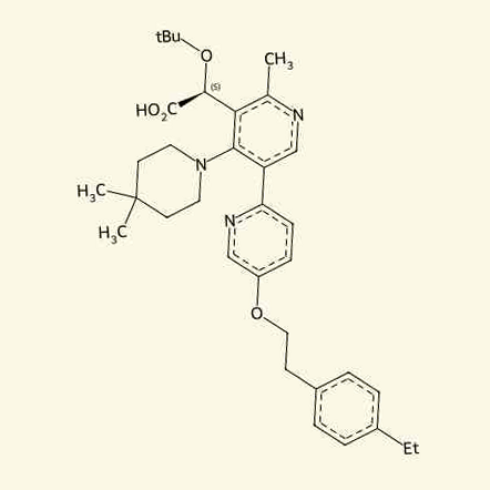 CCc1ccc(CCOc2ccc(-c3cnc(C)c([C@H](OC(C)(C)C)C(=O)O)c3N3CCC(C)(C)CC3)nc2)cc1